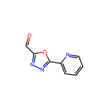 O=Cc1nnc(-c2ccccn2)o1